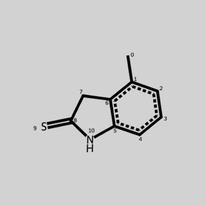 Cc1cccc2c1CC(=S)N2